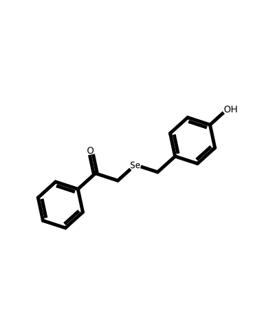 O=C(C[Se]Cc1ccc(O)cc1)c1ccccc1